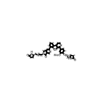 COc1cc(-c2nccc(-c3cccc(-c4cc5c(cn4)C(=O)N(CCNC[C@H]4CCC(=O)N4)C5)c3Cl)c2Cl)ccc1CNC[C@H]1CCC(=O)N1